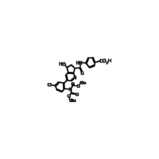 CC(C)(C)OC(=O)N(C(=O)OC(C)(C)C)c1ccc(Cl)cc1-c1cnc2c(c1)C(O)CC2C(=O)Nc1ccc(C(=O)O)cc1